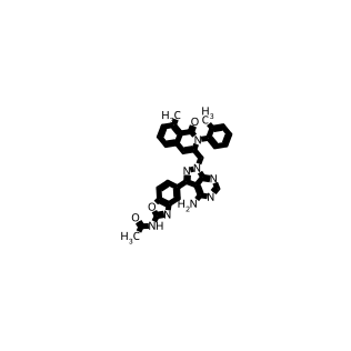 CC(=O)Nc1nc2cc(-c3nn(Cc4cc5cccc(C)c5c(=O)n4-c4ccccc4C)c4ncnc(N)c34)ccc2o1